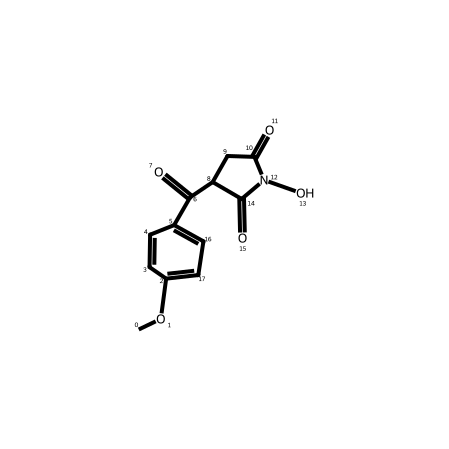 COc1ccc(C(=O)C2CC(=O)N(O)C2=O)cc1